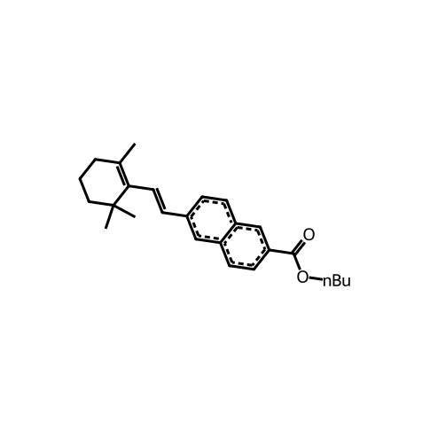 CCCCOC(=O)c1ccc2cc(/C=C/C3=C(C)CCCC3(C)C)ccc2c1